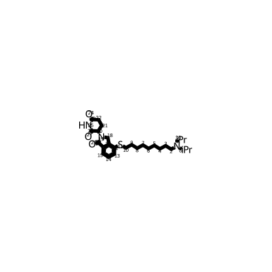 CC(C)N(CCCCCCCCCSc1cccc2c1CN(C1CCC(=O)NC1=O)C2=O)C(C)C